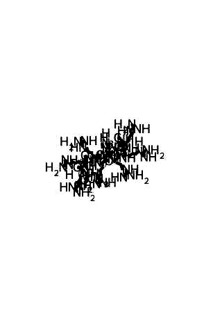 CNC(=O)[C@@H](CCCNC(=N)N)NC(=O)[C@@H](CCCNC(=N)N)NC(=O)[C@@H](CCCNC(=N)N)NC(=O)[C@H](NC(=O)[C@@H](CCCNC(=N)N)NC(=O)[C@@H](CCCNC(=N)N)NC(=O)[C@@H](CCCNC(=N)N)NC(=O)[C@@H](CCCNC(=N)N)NC(C)=O)N1CCNC1=N